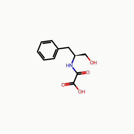 O=C(O)C(=O)N[C@H](CO)Cc1ccccc1